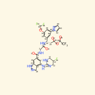 O=C(CNC(=O)c1cc(NC2=NCC(F)CN2)c2cn[nH]c2c1)N[C@@H](CC(=O)OC(=O)C(F)(F)F)c1cc(OC(F)F)cc(-n2cccn2)c1